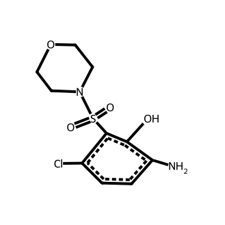 Nc1ccc(Cl)c(S(=O)(=O)N2CCOCC2)c1O